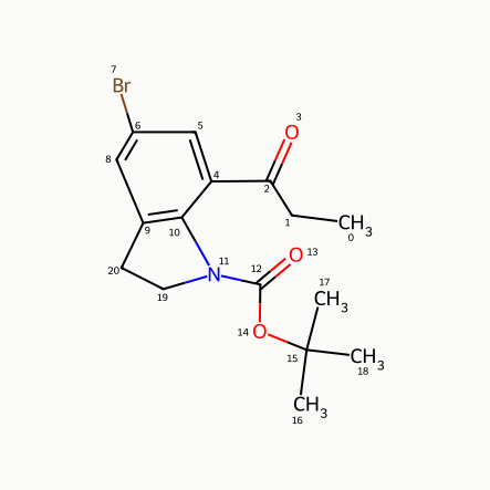 CCC(=O)c1cc(Br)cc2c1N(C(=O)OC(C)(C)C)CC2